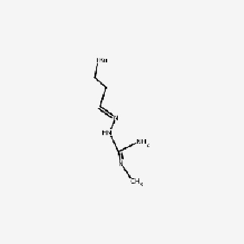 C/N=C(\N)N/N=C/CCC(C)(C)C